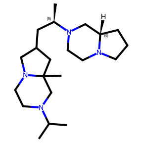 CC(C)N1CCN2CC(C[C@@H](C)N3CCN4CCC[C@H]4C3)CC2(C)C1